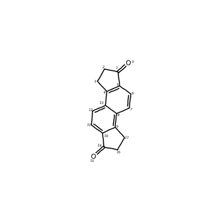 O=C1CCc2c1ccc1c3c(ccc21)C(=O)CC3